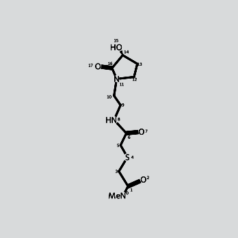 CNC(=O)CSCC(=O)NCCN1CC[C@H](O)C1=O